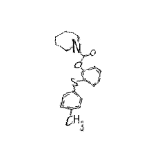 Cc1ccc(Sc2ccccc2OC(=O)N2CCCCC2)cc1